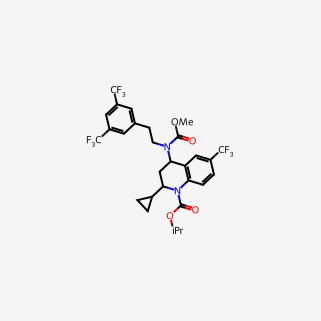 COC(=O)N(CCc1cc(C(F)(F)F)cc(C(F)(F)F)c1)C1CC(C2CC2)N(C(=O)OC(C)C)c2ccc(C(F)(F)F)cc21